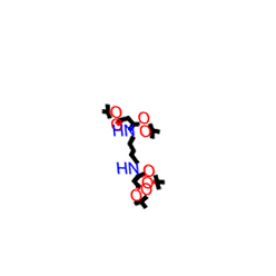 CC(C)(C)OC(=O)CC(NCCCCCNC(CC(=O)OC(C)(C)C)C(=O)OC(C)(C)C)C(=O)OC(C)(C)C